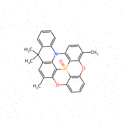 Cc1ccc2c3c1Oc1cccc4c1P3(=O)c1c(c(C)cc3c1N2c1ccccc1C3(C)C)O4